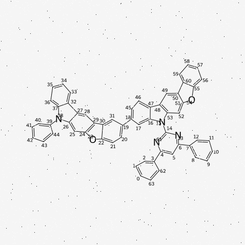 c1ccc(-c2cc(-c3ccccc3)nc(-n3c4cc(-c5ccc6oc7cc8c(cc7c6c5)c5ccccc5n8-c5ccccc5)ccc4c4cc5c(cc43)oc3ccccc35)n2)cc1